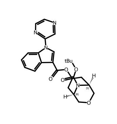 CC(C)(C)OC(=O)N1[C@@H]2COC[C@H]1CC(OC(=O)c1cn(-c3cnccn3)c3ccccc13)C2